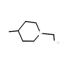 COCN1CCC(C)CC1